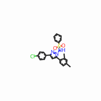 Cc1ccc(-c2cc(-c3ccc(Cl)cc3)nn2NS(=O)(=O)c2ccccc2)c(C)c1